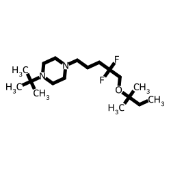 CCC(C)(C)OCC(F)(F)CCCN1CCN(C(C)(C)C)CC1